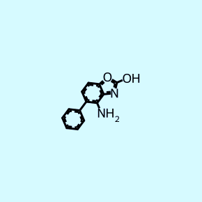 Nc1c(-c2ccccc2)ccc2oc(O)nc12